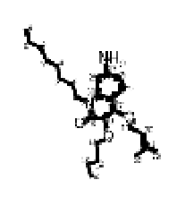 CCCCCCCCn1c(=O)c(OCCCC)c(OCC=C(C)C)c2ccc(N)cc21